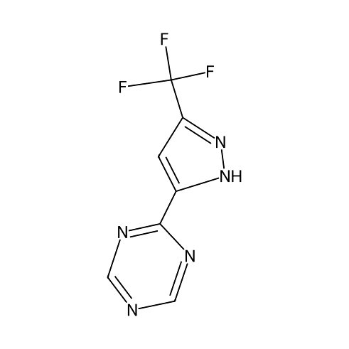 FC(F)(F)c1cc(-c2ncncn2)[nH]n1